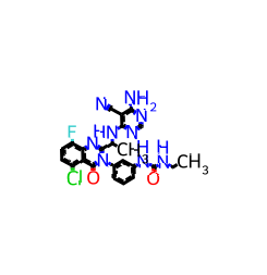 CCNC(=O)Nc1cccc(-n2c(C(C)Nc3ncnc(N)c3C#N)nc3c(F)ccc(Cl)c3c2=O)c1